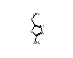 Cc1cnc(SC(C)(C)C)s1